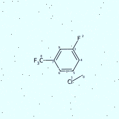 CCl.Fc1cccc(C(F)(F)F)c1